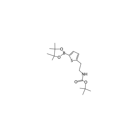 CC(C)(C)OC(=O)NCCc1ccc(B2OC(C)(C)C(C)(C)O2)s1